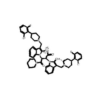 Cc1c(CN2CCC(c3c(F)cccc3Cl)CC2)c2ccccc2n1C(C(N)=O)C(C(=O)N1CCCCC1)n1c(C)c(CN2CCC(c3c(F)cccc3Cl)CC2)c2ccccc21